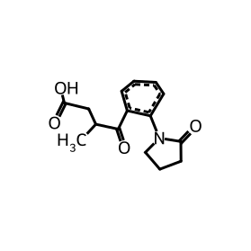 CC(CC(=O)O)C(=O)c1ccccc1N1CCCC1=O